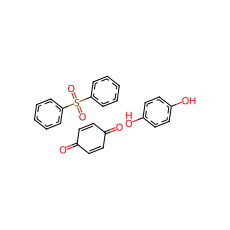 O=C1C=CC(=O)C=C1.O=S(=O)(c1ccccc1)c1ccccc1.Oc1ccc(O)cc1